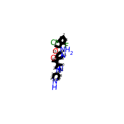 CC(Cc1c(F)cccc1Cl)Oc1c(N)ncc2c(-c3cnn(C4CCNCC4)c3)coc12